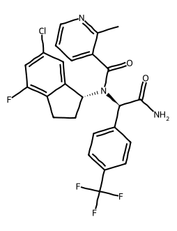 Cc1ncccc1C(=O)N([C@@H]1CCc2c(F)cc(Cl)cc21)[C@@H](C(N)=O)c1ccc(C(F)(F)F)cc1